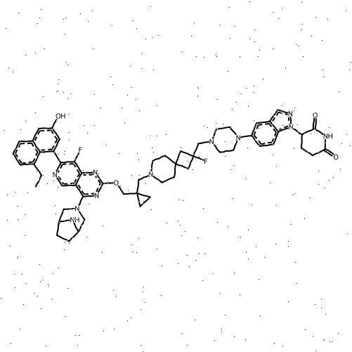 CCc1cccc2cc(O)cc(-c3ncc4c(N5CC6CCC(C5)N6)nc(OCC5(CN6CCC7(CC6)CC(F)(CN6CCN(c8ccc9c(cnn9C9CCC(=O)NC9=O)c8)CC6)C7)CC5)nc4c3F)c12